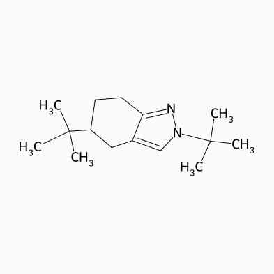 CC(C)(C)C1CCc2nn(C(C)(C)C)cc2C1